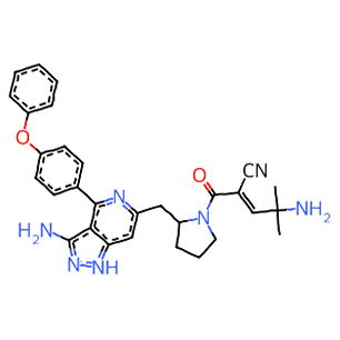 CC(C)(N)C=C(C#N)C(=O)N1CCCC1Cc1cc2[nH]nc(N)c2c(-c2ccc(Oc3ccccc3)cc2)n1